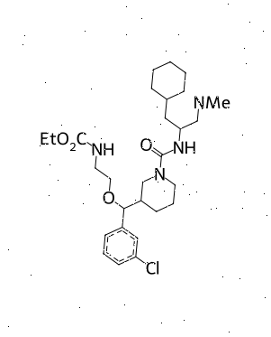 CCOC(=O)NCCOC(c1cccc(Cl)c1)C1CCCN(C(=O)NC(CNC)CC2CCCCC2)C1